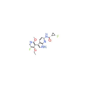 CCOc1c(F)cnc(OC)c1-c1c[nH]c2nc(NC(=O)[C@@H]3C[C@@H]3F)ccc12